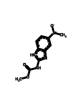 COC(=O)Nc1nc2cc([S+](C)[O-])ccc2[nH]1